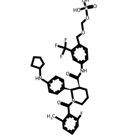 Cc1cccc(F)c1C(=O)N1CCC[C@H](C(=O)Nc2ccc(COCOP(=O)(O)O)c(C(F)(F)F)c2)[C@@H]1c1ccc(NC2CCCC2)cc1